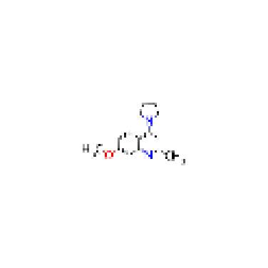 COc1ccc2c(N3CCCC3)cc(C)nc2c1